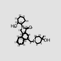 CC1(O)CCN(Cc2cc3c(c4ccccc24)CN(C2CCCCC2O)C3=O)CC1